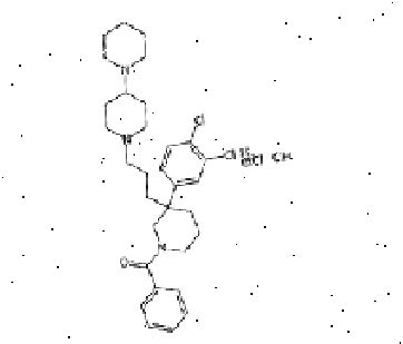 Cl.Cl.O.O=C(c1ccccc1)N1CCCC(CCCN2CCC(N3CCCCC3)CC2)(c2ccc(Cl)c(Cl)c2)C1